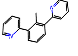 Cc1c(-c2ccccn2)cccc1-c1ccccn1